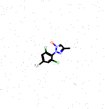 Cc1c[n+]([O-])n(-c2c(Cl)cc(C(F)(F)F)cc2Cl)n1